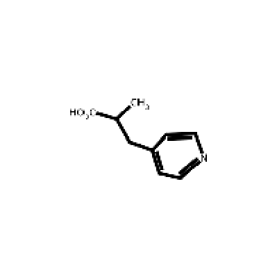 CC(Cc1ccncc1)C(=O)O